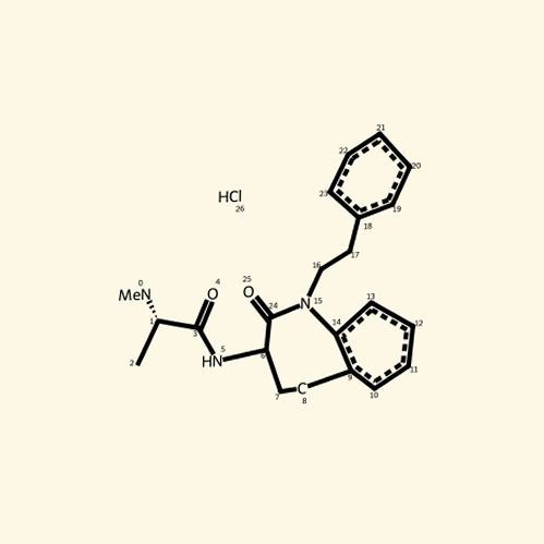 CN[C@@H](C)C(=O)NC1CCc2ccccc2N(CCc2ccccc2)C1=O.Cl